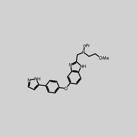 CCCN(CCOC)Cc1nc2cc(Oc3ccc(-c4ccn[nH]4)cc3)ccc2[nH]1